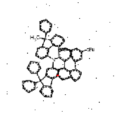 CC(C)(C)c1cc(-c2cccc3cccc(-c4ccccc4N(c4ccc5c(c4)C(c4ccccc4)(c4ccccc4)c4ccccc4-5)c4cccc5c4-c4ccccc4C5(C)c4ccccc4)c23)cc(C(C)(C)C)c1